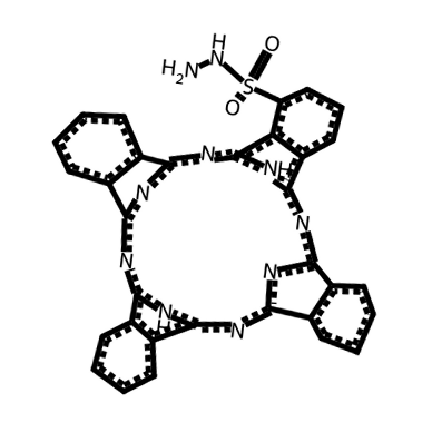 NNS(=O)(=O)c1cccc2c3nc4nc(nc5[nH]c(nc6nc(nc([nH]3)c12)-c1ccccc1-6)c1ccccc51)-c1ccccc1-4